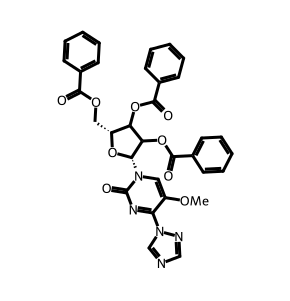 COc1cn([C@@H]2O[C@H](COC(=O)c3ccccc3)C(OC(=O)c3ccccc3)C2OC(=O)c2ccccc2)c(=O)nc1-n1cncn1